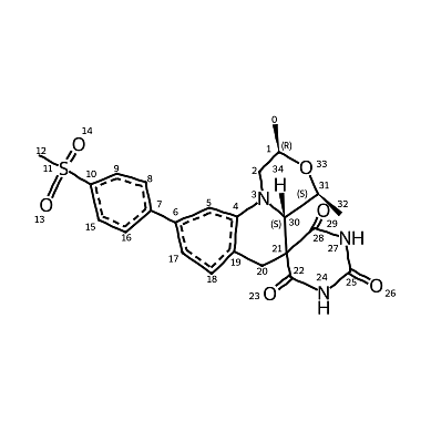 C[C@@H]1CN2c3cc(-c4ccc(S(C)(=O)=O)cc4)ccc3CC3(C(=O)NC(=O)NC3=O)[C@H]2[C@H](C)O1